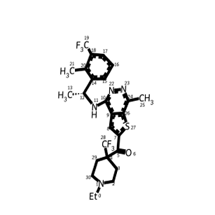 CCN1CCC(C(=O)c2cc3c(N[C@H](C)c4cccc(C(F)(F)F)c4C)nnc(C)c3s2)(C(F)(F)F)CC1